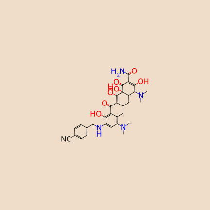 CN(C)c1cc(NCc2ccc(C#N)cc2)c(O)c2c1CC1CC3C(N(C)C)C(O)=C(C(N)=O)C(=O)C3(O)C(O)=C1C2=O